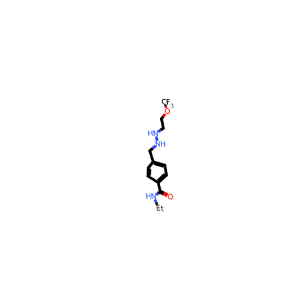 CCNC(=O)c1ccc(CNNCCOC(F)(F)F)cc1